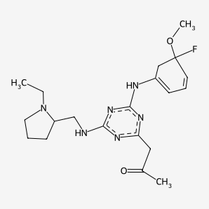 CCN1CCCC1CNc1nc(CC(C)=O)nc(NC2=CC=CC(F)(OC)C2)n1